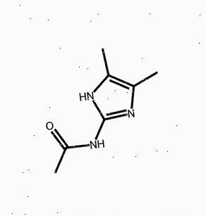 CC(=O)Nc1nc(C)c(C)[nH]1